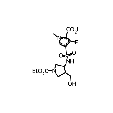 CCOC(=O)N1CC(CO)C(NS(=O)(=O)c2cn(C)c(C(=O)O)c2F)C1